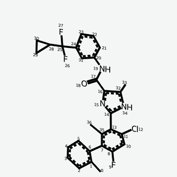 Cc1ccccc1-c1c(F)cc(Cl)c(-c2nc(C(=O)Nc3cccc(C(F)(F)C4CC4)c3)c(C)[nH]2)c1C